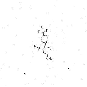 C=C/C=C(\P(Cl)c1ccc(C(F)(F)F)cc1)C(F)(F)F